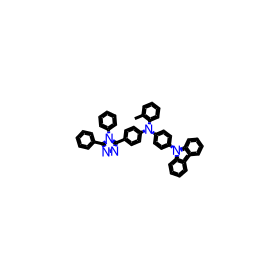 Cc1ccccc1N(c1ccc(-c2nnc(-c3ccccc3)n2-c2ccccc2)cc1)c1ccc(-n2c3ccccc3c3ccccc32)cc1